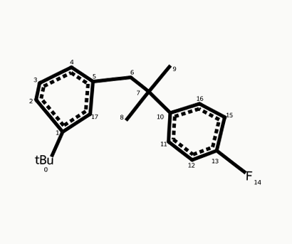 CC(C)(C)c1cccc(CC(C)(C)c2ccc(F)cc2)c1